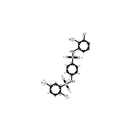 Cc1c(Cl)cccc1NS(=O)(=O)c1ccc(NS(=O)(=O)c2cc(C(F)(F)F)ccc2C(F)(F)F)cc1